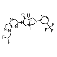 O=C1[C@@H]2CN(c3cc(C(F)(F)F)ccn3)C[C@@H]2CN1c1cnc2cnn(CC(F)F)c2n1